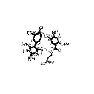 CCN(CC)CCNC(=O)c1cc(Cl)c(N)cc1OC.Cc1[nH]c(=N)[nH]c(=N)c1-c1ccc(Cl)c(Cl)c1